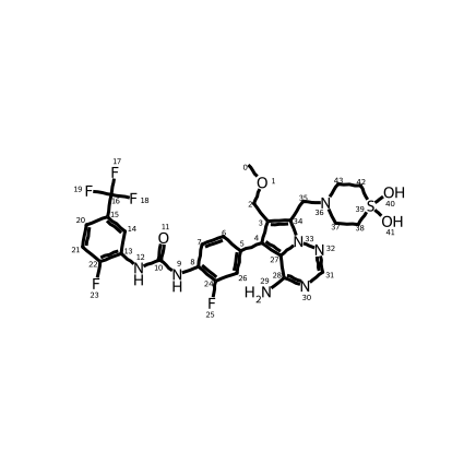 COCc1c(-c2ccc(NC(=O)Nc3cc(C(F)(F)F)ccc3F)c(F)c2)c2c(N)ncnn2c1CN1CCS(O)(O)CC1